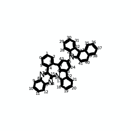 c1ccc2c(c1)-c1nc3ccccc3nc1-n1c3ccccc3c3cc(-n4c5ccccc5c5c6ccccc6ccc54)cc-2c31